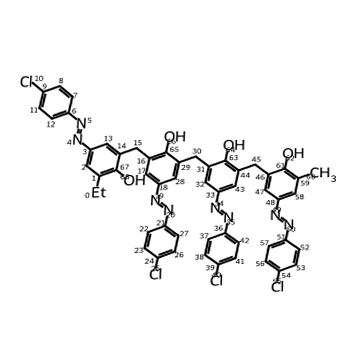 CCc1cc(N=Nc2ccc(Cl)cc2)cc(Cc2cc(N=Nc3ccc(Cl)cc3)cc(Cc3cc(N=Nc4ccc(Cl)cc4)cc(Cc4cc(N=Nc5ccc(Cl)cc5)cc(C)c4O)c3O)c2O)c1O